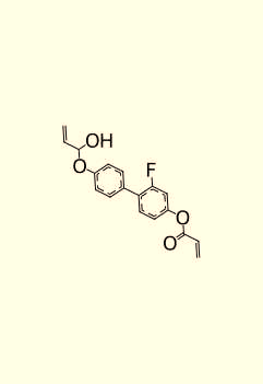 C=CC(=O)Oc1ccc(-c2ccc(OC(O)C=C)cc2)c(F)c1